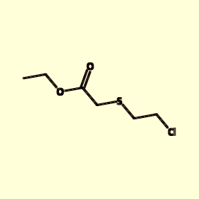 CCOC(=O)CSCCCl